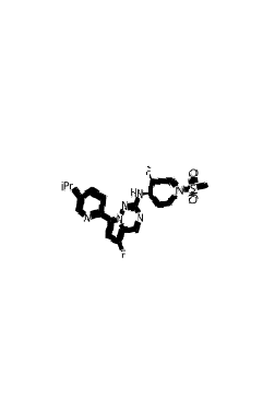 CC(C)c1ccc(-c2cc(F)c3cnc(N[C@@H]4CCN(S(C)(=O)=O)C[C@H]4F)nn23)nc1